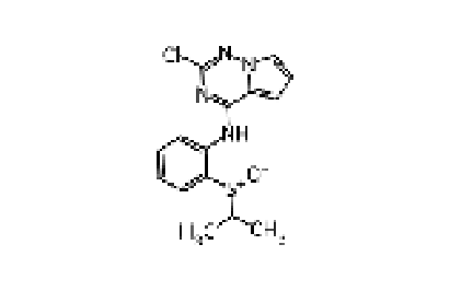 CC(C)[S+]([O-])c1ccccc1Nc1nc(Cl)nn2cccc12